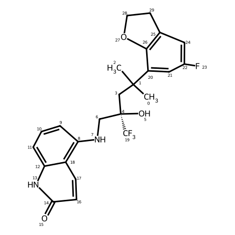 CC(C)(C[C@@](O)(CNc1cccc2[nH]c(=O)ccc12)C(F)(F)F)c1cc(F)cc2c1OCC2